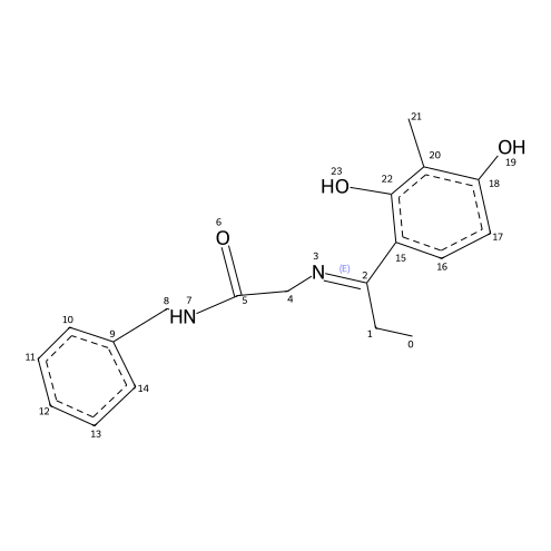 CC/C(=N\CC(=O)NCc1ccccc1)c1ccc(O)c(C)c1O